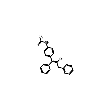 CCC(Cc1ccccc1)=C(c1ccccc1)c1ccc(NC(=O)C(F)(F)F)cc1